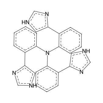 c1ccc(N(c2ccccc2-c2c[nH]cn2)c2ccccc2-c2c[nH]cn2)c(-c2c[nH]cn2)c1